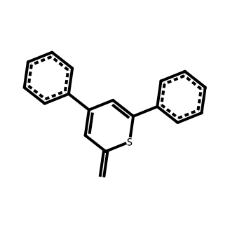 C=C1C=C(c2ccccc2)C=C(c2ccccc2)S1